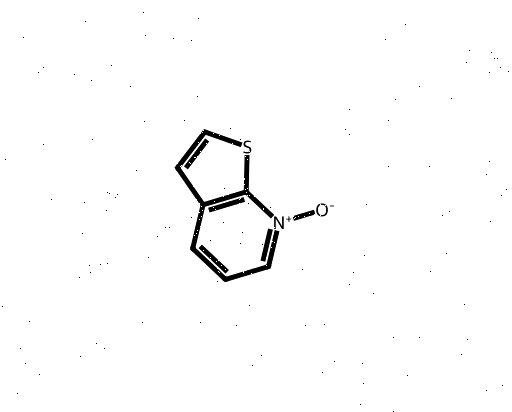 [O-][n+]1cccc2ccsc21